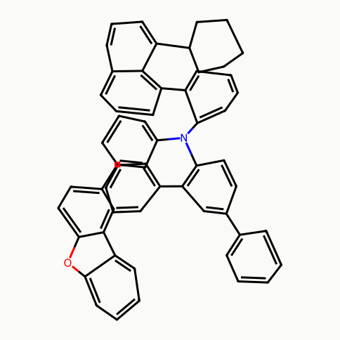 c1ccc(-c2ccc(N(c3cccc(-c4ccc5oc6ccccc6c5c4)c3)c3ccccc3-c3cccc4cccc(C5CCCCC5)c34)c(-c3ccccc3)c2)cc1